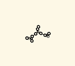 c1ccc(-n2c3ccccc3c3cc(-c4ccc(N(c5ccc(-c6ccc7oc8ccccc8c7c6)cc5)c5ccc6ccccc6c5)cc4)ccc32)cc1